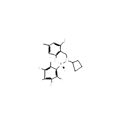 O=S(=O)(c1c(F)c(F)c(F)c(F)c1F)N(Cc1c(F)cc(F)cc1F)C1CCC1